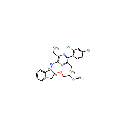 CCc1nc(-c2ccc(Cl)cc2Cl)c(CC)nc1N[C@@H]1c2ccccc2C[C@@H]1OCCOC